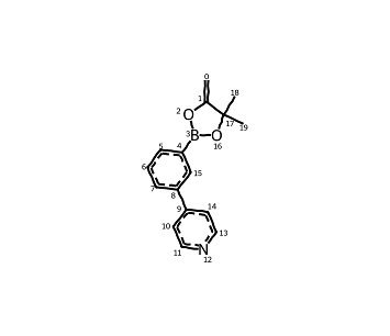 C=C1OB(c2cccc(-c3ccncc3)c2)OC1(C)C